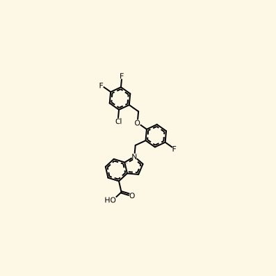 O=C(O)c1cccc2c1ccn2Cc1cc(F)ccc1OCc1cc(F)c(F)cc1Cl